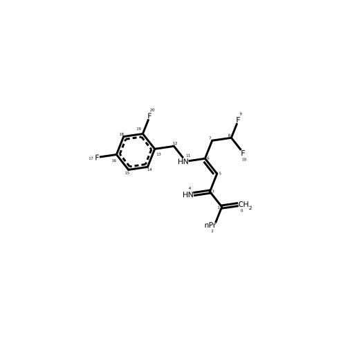 C=C(CCC)C(=N)/C=C(/CC(F)F)NCc1ccc(F)cc1F